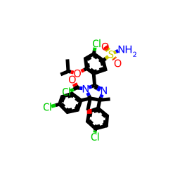 CC(C)Oc1cc(Cl)c(S(N)(=O)=O)cc1C1=NC(C)(c2ccc(Cl)cc2)C(C)(c2ccc(Cl)cc2)N1C(=O)Cl